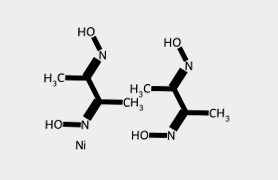 CC(=NO)C(C)=NO.CC(=NO)C(C)=NO.[Ni]